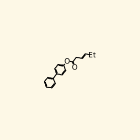 CCC=CCC(=O)Oc1ccc(-c2ccccc2)cc1